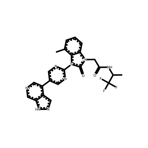 Cc1cccc2c1n(-c1ncc(-c3cncc4[nH]ncc34)cn1)c(=O)n2CC(=O)NC(C)C(F)(F)F